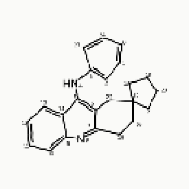 c1ccc(Nc2c3c(nc4ccccc24)CCC2(CCCC2)C3)cc1